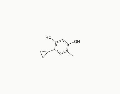 Cc1cc(C2CC2)c(O)cc1O